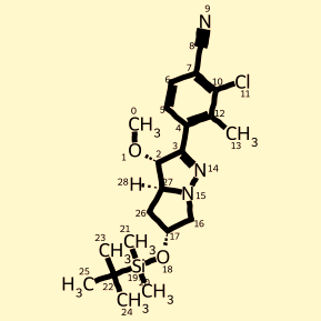 CO[C@@H]1C(c2ccc(C#N)c(Cl)c2C)=NN2C[C@H](O[Si](C)(C)C(C)(C)C)C[C@@H]12